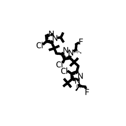 CC(C)n1ncc(Cl)c1C(C)(C)Cc1nn([C@@H](C)CF)c(C(C)(C)Cc2nn([C@H](C)CF)c(C(C)(C)C)c2Cl)c1Cl